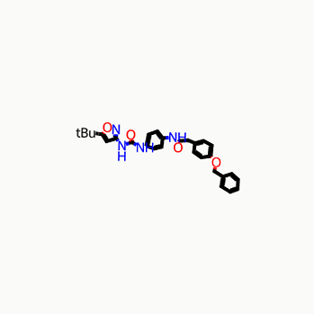 CC(C)(C)c1cc(NC(=O)Nc2ccc(NC(=O)Cc3ccc(OCc4ccccc4)cc3)cc2)no1